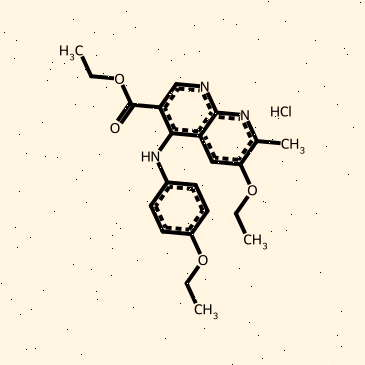 CCOC(=O)c1cnc2nc(C)c(OCC)cc2c1Nc1ccc(OCC)cc1.Cl